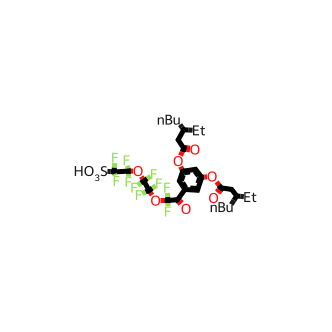 CCCCC(CC)CC(=O)Oc1cc(OC(=O)CC(CC)CCCC)cc(C(=O)C(F)(F)OC(F)(F)C(F)(F)OC(F)(F)C(F)(F)S(=O)(=O)O)c1